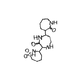 O=C1NCCCCC1C1CCNC(C2CCCCS(=O)(=O)N2)C(=O)N1